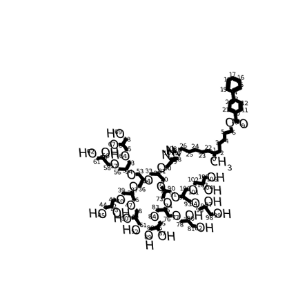 CC(CCCCCOC(=O)c1ccc(-c2ccccc2)cc1)CCCCCn1cc(COC(COC(COC(COCC(O)CO)COCC(O)CO)COC(COCC(O)CO)COCC(O)CO)COC(COC(COCC(O)CO)COCC(O)CO)COC(COCC(O)CO)COCC(O)CO)nn1